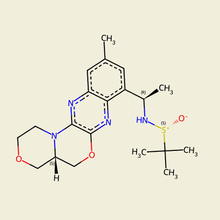 Cc1cc([C@@H](C)N[S@+]([O-])C(C)(C)C)c2nc3c(nc2c1)N1CCOC[C@H]1CO3